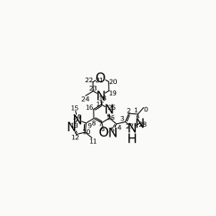 Cc1cc(-c2noc3c(-c4c(C)cnn4C)cc(N4CCOCC4C)nc23)[nH]n1